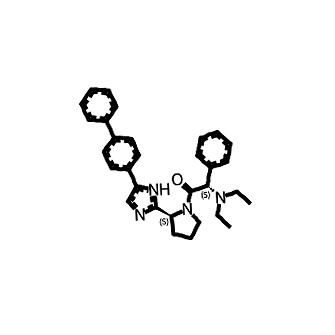 CCN(CC)[C@H](C(=O)N1CCC[C@H]1c1ncc(-c2ccc(-c3ccccc3)cc2)[nH]1)c1ccccc1